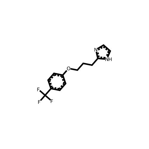 FC(F)(F)c1ccc(OCCCc2ncc[nH]2)cc1